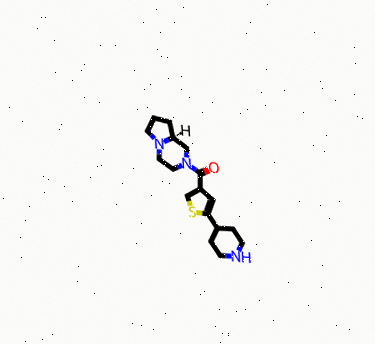 O=C(C1C=C(C2CCNCC2)SC1)N1CCN2CCC[C@H]2C1